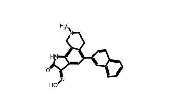 CN1CCc2c(-c3ccc4ccccc4c3)cc3c(c2C1)NC(=O)C3=NO